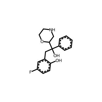 Oc1ccc(F)cc1CC(O)(c1ccccc1)C1CNCCO1